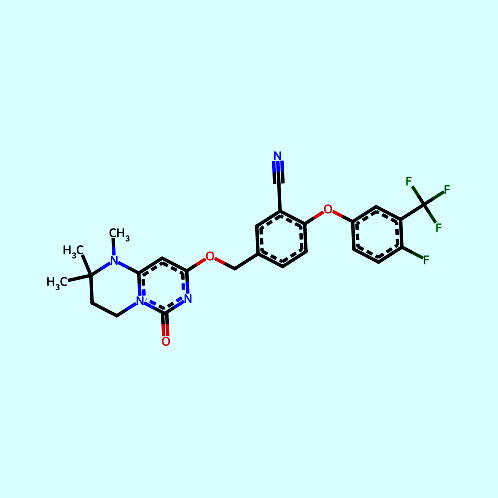 CN1c2cc(OCc3ccc(Oc4ccc(F)c(C(F)(F)F)c4)c(C#N)c3)nc(=O)n2CCC1(C)C